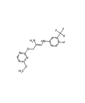 COc1ccnc(OC/C(N)=C/Nc2ccc(F)c(C(F)(F)F)c2)n1